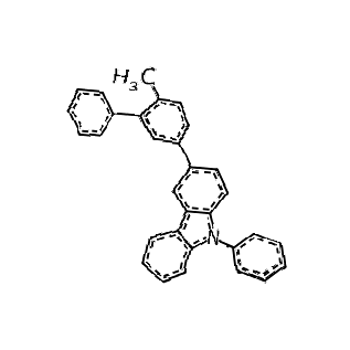 Cc1ccc(-c2ccc3c(c2)c2ccccc2n3-c2ccccc2)cc1-c1ccccc1